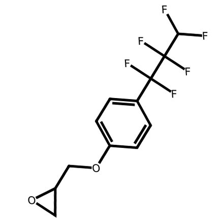 FC(F)C(F)(F)C(F)(F)c1ccc(OCC2CO2)cc1